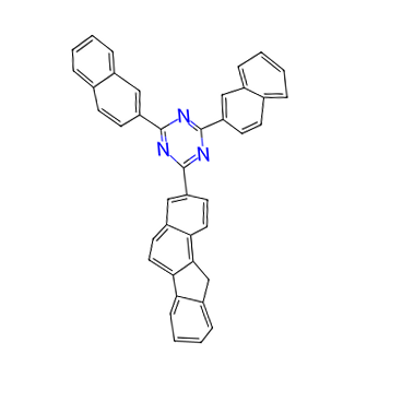 c1ccc2c(c1)Cc1c-2ccc2cc(-c3nc(-c4ccc5ccccc5c4)nc(-c4ccc5ccccc5c4)n3)ccc12